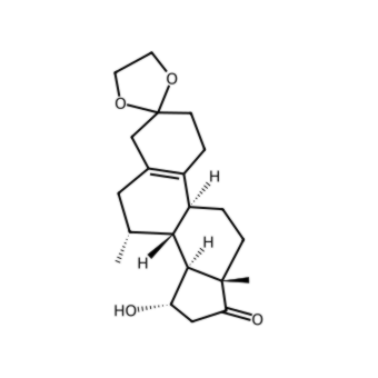 C[C@@H]1CC2=C(CCC3(C2)OCCO3)[C@H]2CC[C@]3(C)C(=O)C[C@H](O)[C@H]3[C@H]12